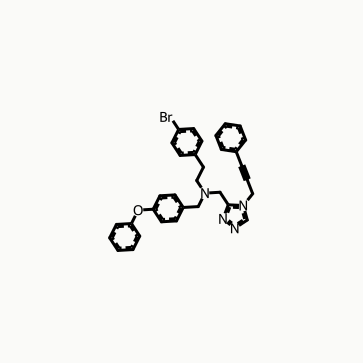 Brc1ccc(CCN(Cc2ccc(Oc3ccccc3)cc2)Cc2nncn2CC#Cc2ccccc2)cc1